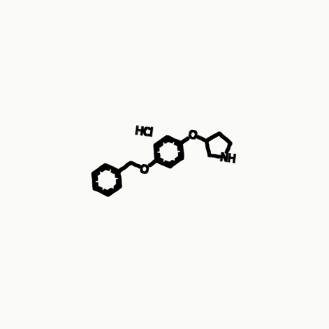 Cl.c1ccc(COc2ccc(OC3CCNC3)cc2)cc1